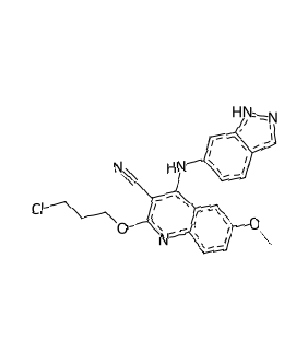 COc1ccc2nc(OCCCCl)c(C#N)c(Nc3ccc4cn[nH]c4c3)c2c1